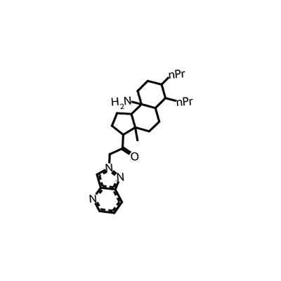 CCCC1CCC2(N)C(CCC3(C)C(C(=O)Cn4cc5ncccc5n4)CCC32)C1CCC